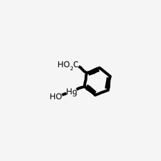 O=C(O)c1cccc[c]1[Hg][OH]